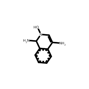 NC1=CN(O)C(N)c2ccccc21